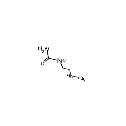 CCCCNCCNC(N)=O